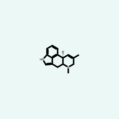 CC1=C[C@@H]2c3cccc4[nH]cc(c34)CC2N(C)C1